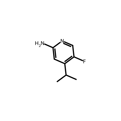 CC(C)c1cc(N)ncc1F